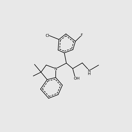 CNCC(O)C(c1cc(F)cc(Cl)c1)N1CC(C)(C)c2ccccc21